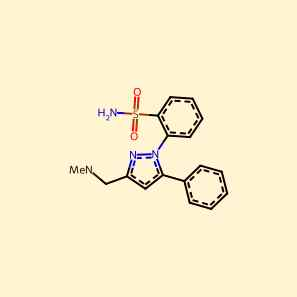 CNCc1cc(-c2ccccc2)n(-c2ccccc2S(N)(=O)=O)n1